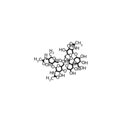 CC(=O)NC1C(O)[C@H](O)[C@H](CO)O[C@H]1O[C@@H]1C(O)[C@H](O)C(CO)O[C@@H]1OCC1O[C@@H](O[C@@H]2C(CO)O[C@@H](O[C@@H]3C(CO)O[C@@H](C)C(NC(C)=O)[C@H]3O)C(NC(C)=O)[C@H]2O)C(O)[C@@H](O)[C@@H]1O